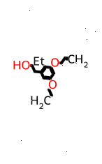 C=CCOc1cc(CCO)c(CC)c(OCC=C)c1